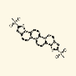 CS(=O)(=O)c1cc2ccc3c4ccc5c(ccc6cc(S(C)(=O)=O)sc65)c4ccc3c2s1